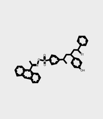 CCC(CC(CC(C)c1ccc(S(=O)(=O)O/N=C(\C)c2c3ccccc3cc3ccccc23)cc1)c1ccc(O)cc1)c1ccccc1